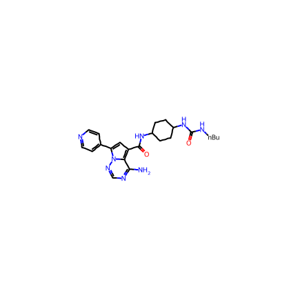 CCCCNC(=O)NC1CCC(NC(=O)c2cc(-c3ccncc3)n3ncnc(N)c23)CC1